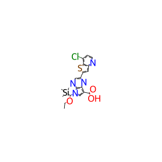 CCOC(n1cc(C(=O)O)c2nc(-c3cc4nccc(Cl)c4s3)cnc21)[Si](C)(C)C